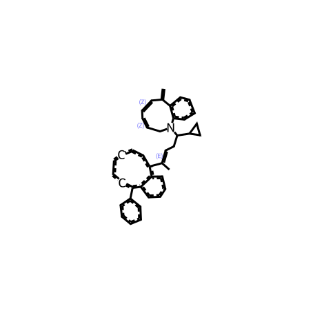 C=C1/C=C\C=C/CN(C(C/C=C(\C)c2ccccccc(-c3ccccc3)c3ccccc23)C2CC2)c2ccccc21